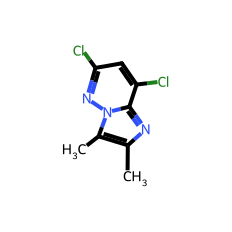 Cc1nc2c(Cl)cc(Cl)nn2c1C